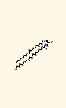 CCCCCCCCCCCCCCCCCCO.CCCCCCCCCCCCCCCCCCOC(=O)/C=C/C(=O)[O-].[Na+]